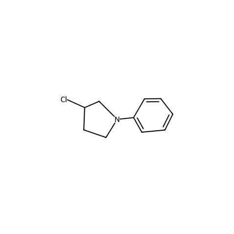 ClC1CCN(c2ccccc2)C1